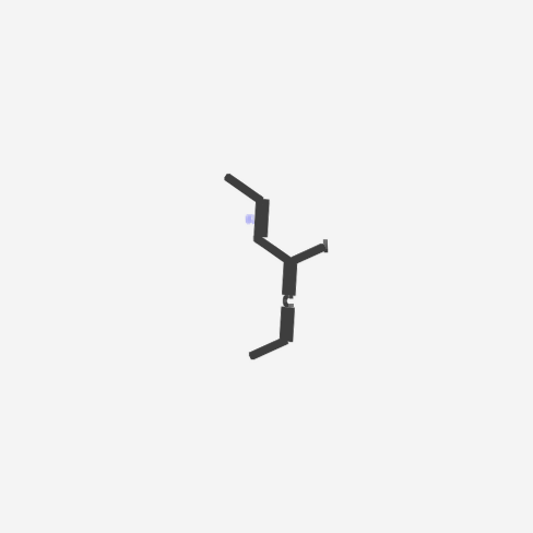 CC=C=C(I)/C=C/C